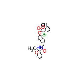 CCc1oc2ccccc2c1C(=O)NCc1ccc2c(Br)c(OC(Cc3ccccc3)C(=O)OC)ccc2c1